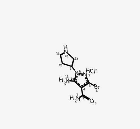 Cl.NC(=O)c1c(Br)nn(C2CCNC2)c1N